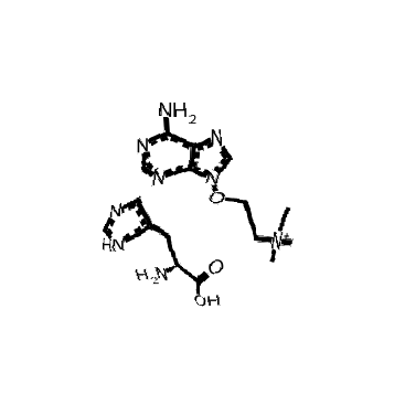 C[N+](C)(C)CCOn1cnc2c(N)ncnc21.N[C@@H](Cc1cnc[nH]1)C(=O)O